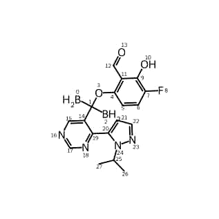 BC(B)(Oc1ccc(F)c(O)c1C=O)c1cncnc1-c1ccnn1C(C)C